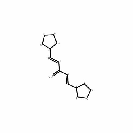 O=C(C=CC1CCCC1)C=CC1CCCC1